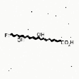 CCC=CC[C@H](O)C=CC=CC=C[C@H](O)CC=CCC=CCCC(=O)O